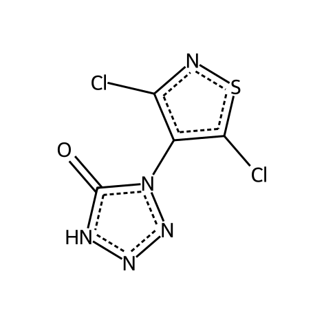 O=c1[nH]nnn1-c1c(Cl)nsc1Cl